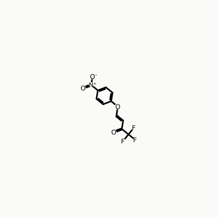 O=C(C=COc1ccc([N+](=O)[O-])cc1)C(F)(F)F